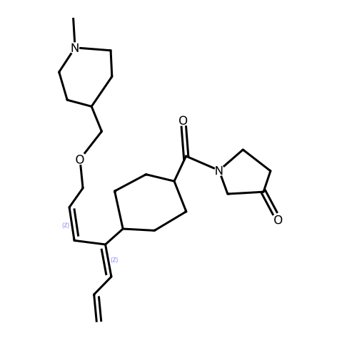 C=C/C=C(\C=C/COCC1CCN(C)CC1)C1CCC(C(=O)N2CCC(=O)C2)CC1